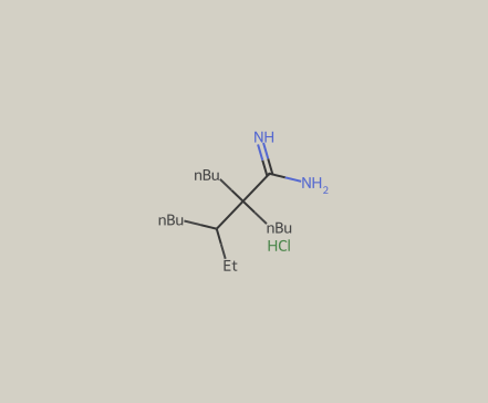 CCCCC(CC)C(CCCC)(CCCC)C(=N)N.Cl